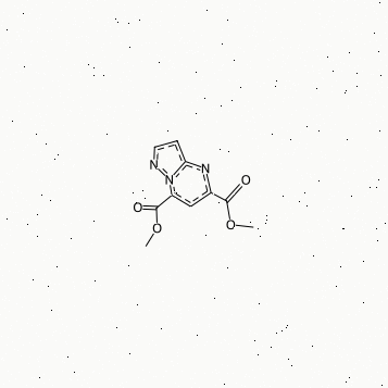 COC(=O)c1cc(C(=O)OC)n2nccc2n1